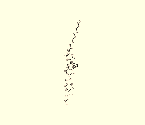 C=CCCCCCCCCCOc1ccc(C(=O)Oc2ccc(CC[C@H]3CC[C@H](CCCCC)CC3)cc2C#N)cc1